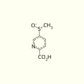 C[S+]([O-])c1ccc(C(=O)O)nc1